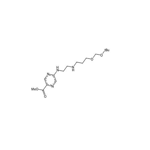 COC(=O)c1cnc(NCCNCCCOCOC(C)(C)C)cn1